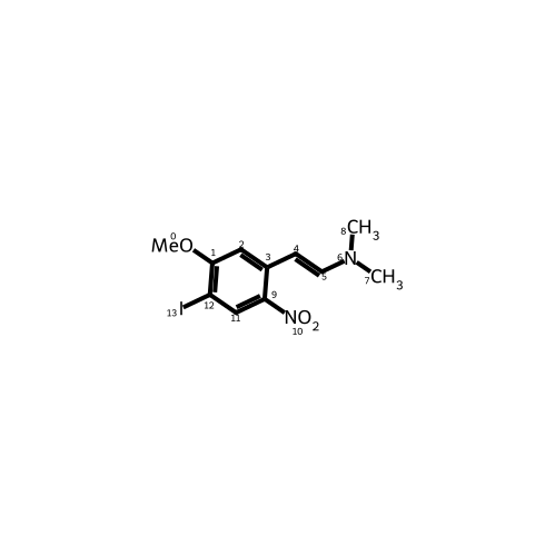 COc1cc(C=CN(C)C)c([N+](=O)[O-])cc1I